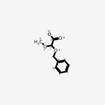 COC(OCc1ccccc1)C([O])=O